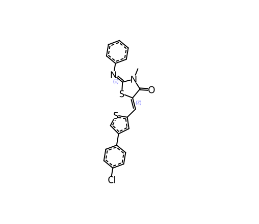 CN1C(=O)/C(=C/c2cc(-c3ccc(Cl)cc3)cs2)S/C1=N/c1ccccc1